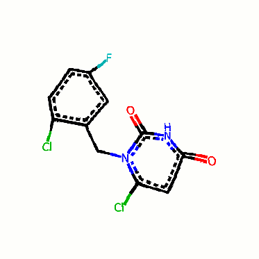 O=c1cc(Cl)n(Cc2cc(F)ccc2Cl)c(=O)[nH]1